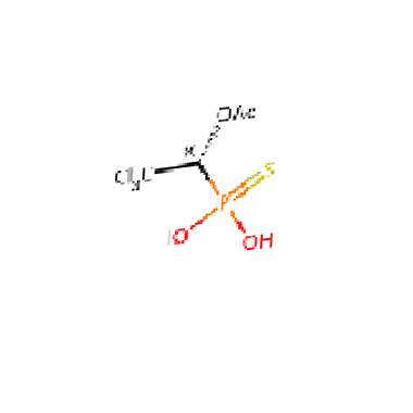 CC(=O)O[C@@H](C(Cl)(Cl)Cl)P(O)(O)=S